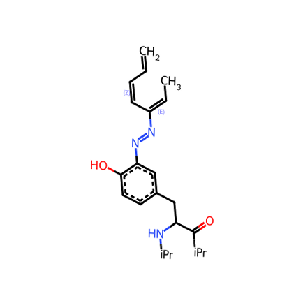 C=C/C=C\C(=C/C)N=Nc1cc(CC(NC(C)C)C(=O)C(C)C)ccc1O